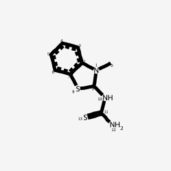 CN1c2ccccc2SC1NC(N)=S